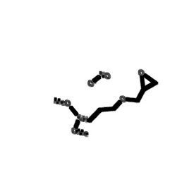 CO[SiH](CCCOCC1CO1)OC.O=[NH+][O-]